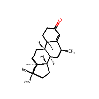 CC(=O)O[C@]1(C(C)=O)CC[C@H]2[C@@H]3C[C@H](C(F)(F)F)C4=CC(=O)CC[C@]4(C)[C@H]3CC[C@@]21C